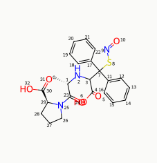 C[C@H](NC(C(=O)O)C(SN=O)(c1ccccc1)c1ccccc1)C(=O)N1CCC[C@H]1C(=O)O